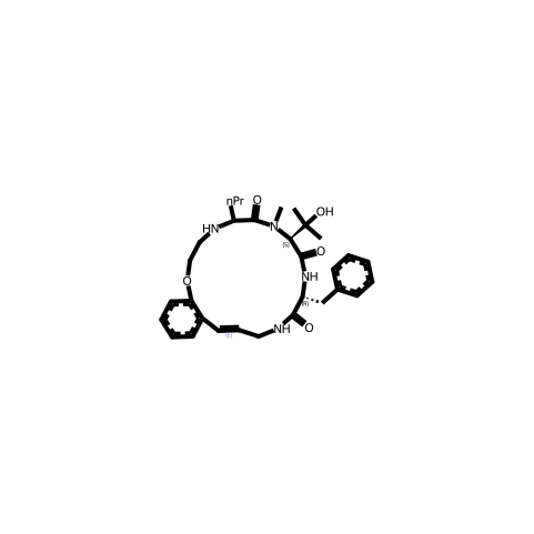 CCCC1NCCOc2ccccc2/C=C/CNC(=O)[C@@H](Cc2ccccc2)NC(=O)[C@H](C(C)(C)O)N(C)C1=O